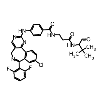 CC(C)(C)C(C=O)NC(=O)CCNC(=O)c1ccc(Nc2ncc3c(n2)-c2ccc(Cl)cc2C(c2c(F)cccc2F)=NC3)cc1